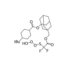 CC(C)(C)C1CCC(C(=O)OC23CC4CC(CC(COC(=O)C(F)(F)SOOO)(C4)C2)C3)CC1